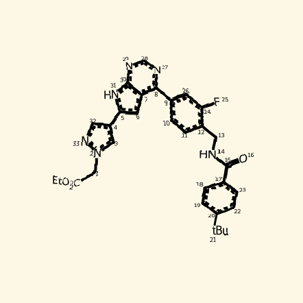 CCOC(=O)Cn1cc(-c2cc3c(-c4ccc(CNC(=O)c5ccc(C(C)(C)C)cc5)c(F)c4)ncnc3[nH]2)cn1